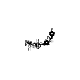 O=C(Cc1ccc(F)cc1)Nc1ccc(COC(=O)N[C@@H](COCC(O)C(F)(F)F)C(=O)O)cc1